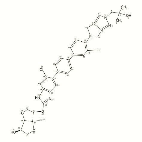 CC(C)(O)Cn1cc2c(n1)CN(c1ccc(-c3ccc(-c4nc5nc(O[C@@H]6COC7[C@H](O)CO[C@@H]76)[nH]c5cc4Cl)cc3)cc1F)C2